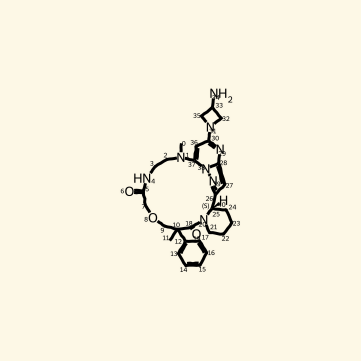 CN1CCNC(=O)COCC(C)(c2ccccc2)C(=O)N2CCCC[C@H]2c2cc3nc(N4CC(N)C4)cc1n3n2